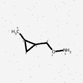 CC1CC1CON